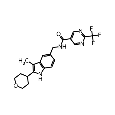 Cc1c(C2CCOCC2)[nH]c2ccc(CNC(=O)c3cnc(C(F)(F)F)nc3)cc12